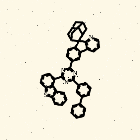 c1ccc(-c2cccc(-c3nc(-c4ccc5c(c4)-c4cccnc4C54C5CC6CC(C5)CC4C6)nc(-c4cccc5sc6ccccc6c45)n3)c2)cc1